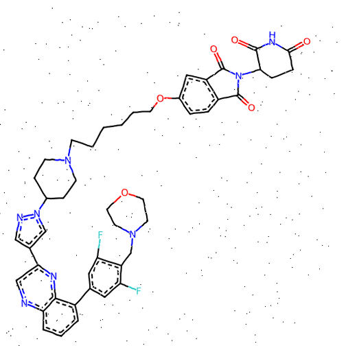 O=C1CCC(N2C(=O)c3ccc(OCCCCCCN4CCC(n5cc(-c6cnc7cccc(-c8cc(F)c(CN9CCOCC9)c(F)c8)c7n6)cn5)CC4)cc3C2=O)C(=O)N1